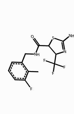 Cc1c(F)cccc1CNC(=O)C1SC(N)=NC1C(F)(F)F